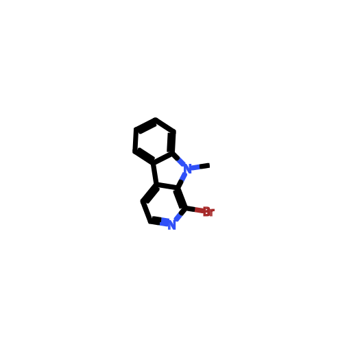 Cn1c2ccccc2c2ccnc(Br)c21